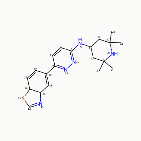 CC1(C)CC(Nc2ccc(C3=CC4N=CSC4C=C3)nn2)CC(C)(C)N1